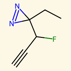 C#CC(F)C1(CC)N=N1